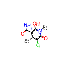 CCc1c(C(N)=O)c(O)n(CC)c(=O)c1Cl